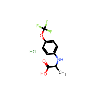 CC(Nc1ccc(OC(F)(F)F)cc1)C(=O)O.Cl